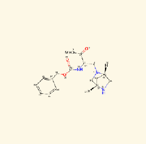 COC(=O)[C@H](CN1C[C@@H]2C[C@H]1CN2)NC(=O)OCc1ccccc1